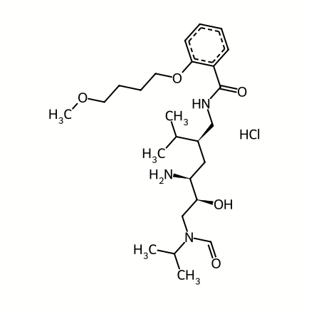 COCCCCOc1ccccc1C(=O)NC[C@@H](C[C@H](N)[C@@H](O)CN(C=O)C(C)C)C(C)C.Cl